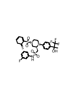 CC(O)(c1ccc(N2CCN(S(=O)(=O)C3=CC=CCC3=S)C[C@@H]2CS(=O)(=O)Nc2cccc(F)c2)cc1)C(F)(F)F